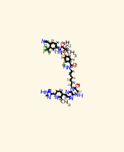 Cc1nc(-c2nc[nH]n2)ccc1-c1cnc2c(n1)N(CCCCCCNC(=O)c1ccc([SH]3NN(c4ccc(C#N)c(C(F)(F)F)c4)C(=O)C3(C)C)cc1F)C(=O)CN2